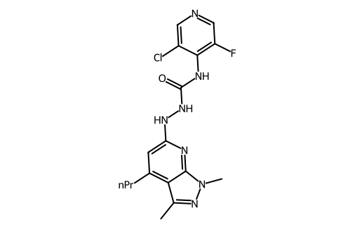 CCCc1cc(NNC(=O)Nc2c(F)cncc2Cl)nc2c1c(C)nn2C